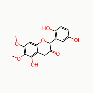 COc1cc2c(c(O)c1OC)CC(=O)C(c1cc(O)ccc1O)O2